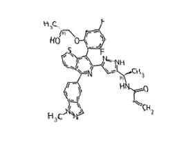 C=CC(=O)N[C@H](C)c1cc(-c2nc(-c3ccc4c(cnn4C)c3)c3ccsc3c2-c2c(F)cc(F)cc2OC[C@@H](C)O)n[nH]1